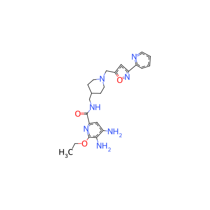 CCOc1nc(C(=O)NCC2CCN(Cc3cc(-c4ccccn4)no3)CC2)cc(N)c1N